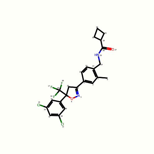 Cc1cc(C2=NOC(c3cc(Cl)cc(Cl)c3)(C(F)(F)F)C2)ccc1CNC(=O)C1CCC1